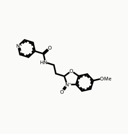 COc1ccc2c(c1)OC(CCNC(=O)c1ccncc1)[N+]2=O